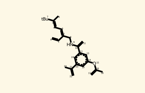 C=C/C(=C\C=C(/C)C(C)(C)C)CNC(=C)c1cc(OC(=C)C)cc(C(=C)C)c1